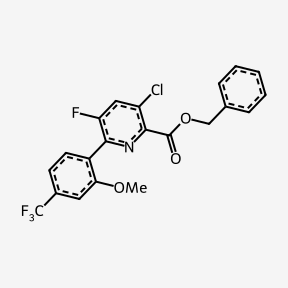 COc1cc(C(F)(F)F)ccc1-c1nc(C(=O)OCc2ccccc2)c(Cl)cc1F